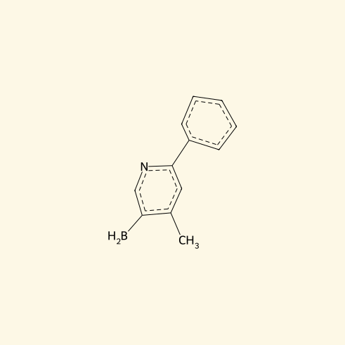 Bc1cnc(-c2ccccc2)cc1C